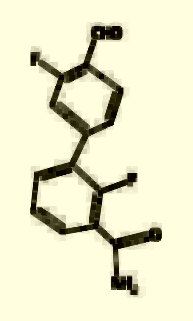 NC(=O)c1cccc(-c2ccc(C=O)c(F)c2)c1F